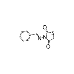 O=C1CSC(=O)N1N=Cc1ccccc1